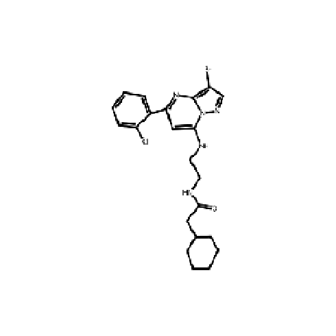 O=C(CC1CCCCC1)NCCNc1cc(-c2ccccc2Cl)nc2c(Br)cnn12